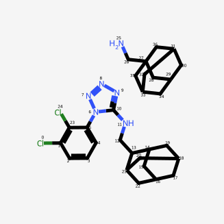 Clc1cccc(-n2nnnc2NCC2C3CC4CC(C3)CC2C4)c1Cl.NCC12CC3CC(CC(C3)C1)C2